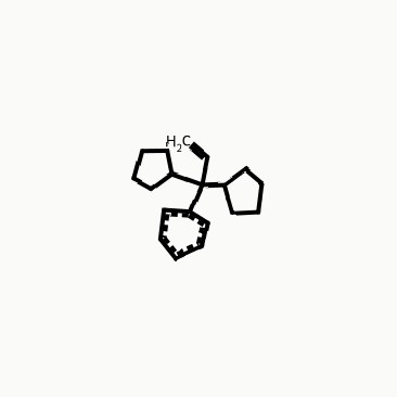 C=CC(c1ccccc1)(C1CCCC1)C1CCCC1